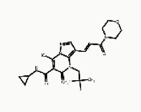 CC(C)(F)Cn1c(=O)c(C(=O)NC2CC2)c(O)n2ncc(/C=C/C(=O)N3CCOCC3)c12